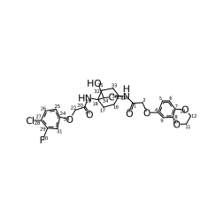 O=C(COc1ccc2c(c1)OCCO2)NC12CCC(NC(=O)COc3ccc(Cl)c(F)c3)(CC1)C(O)C2